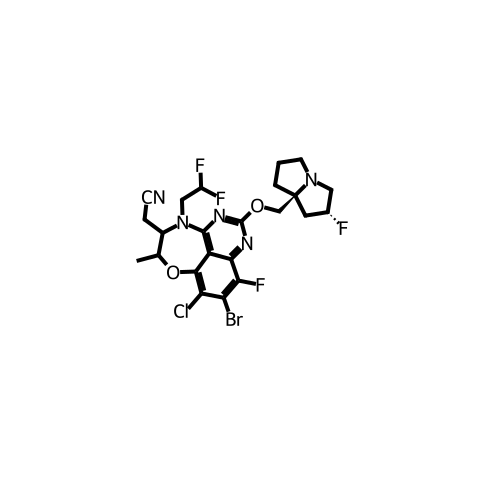 CC1Oc2c(Cl)c(Br)c(F)c3nc(OC[C@@]45CCCN4C[C@H](F)C5)nc(c23)N(CC(F)F)C1CC#N